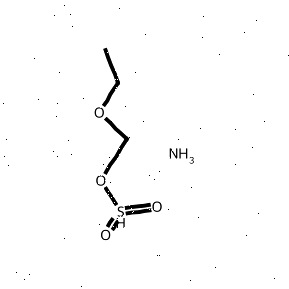 CCOCO[SH](=O)=O.N